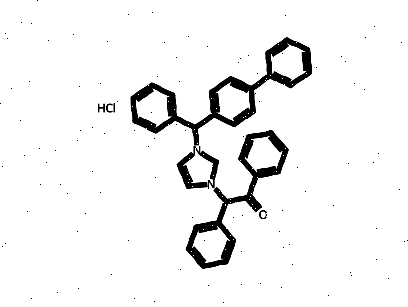 Cl.O=C(c1ccccc1)C(c1ccccc1)N1C=CN(C(c2ccccc2)c2ccc(-c3ccccc3)cc2)C1